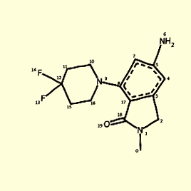 CN1Cc2cc(N)cc(N3CCC(F)(F)CC3)c2C1=O